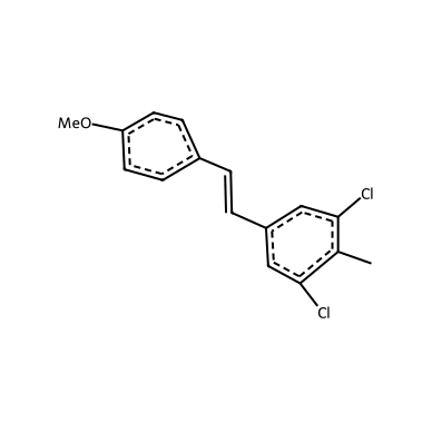 COc1ccc(C=Cc2cc(Cl)c(C)c(Cl)c2)cc1